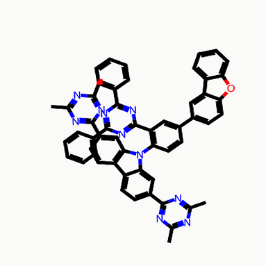 Cc1nc(C)nc(-c2ccc3c4ccc(-c5nc(C)nc(C)n5)cc4n(-c4ccc(-c5ccc6oc7ccccc7c6c5)cc4-c4nc(-c5ccccc5)nc(-c5ccccc5)n4)c3c2)n1